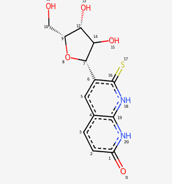 O=c1ccc2cc([C@@H]3O[C@H](CO)[C@H](O)C3O)c(=S)[nH]c2[nH]1